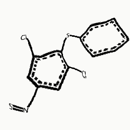 S=Nc1cc(Cl)c(Sc2ccccc2)c(Cl)c1